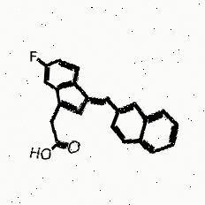 O=C(O)CC1=C/C(=C\c2ccc3ccccc3c2)c2ccc(F)cc21